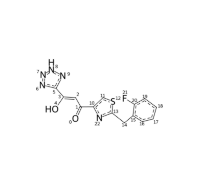 O=C(C=C(O)c1nn[nH]n1)c1csc(Cc2ccccc2F)n1